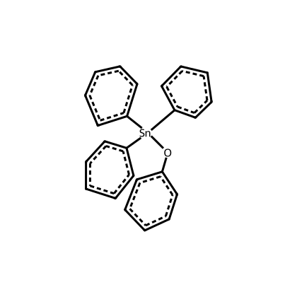 c1ccc([O][Sn]([c]2ccccc2)([c]2ccccc2)[c]2ccccc2)cc1